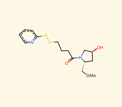 COC[C@H]1C[C@H](O)CN1C(=O)CCCSSc1ccccn1